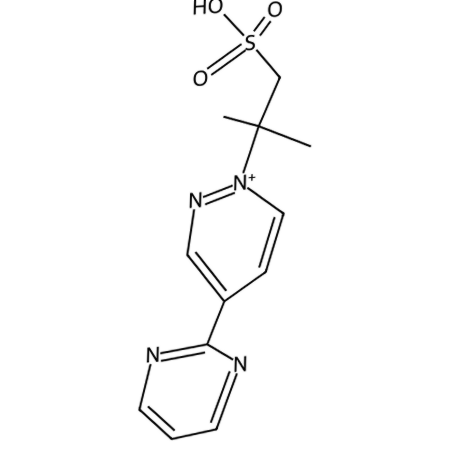 CC(C)(CS(=O)(=O)O)[n+]1ccc(-c2ncccn2)cn1